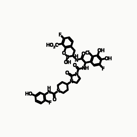 O=C(O)c1c(F)ccc2c1OB(O)C(NC(=O)C(NC(=O)N1CCN(C3CCN(C(=O)Nc4cc(O)ccc4F)CC3)C1=O)c1cc(F)c(O)c(O)c1Cl)C2